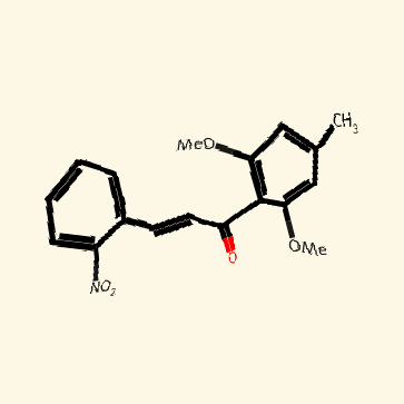 COc1cc(C)cc(OC)c1C(=O)/C=C/c1ccccc1[N+](=O)[O-]